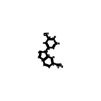 O=[N+]([O-])c1ccc2cnn(-c3cnnc(Cl)c3)c2c1